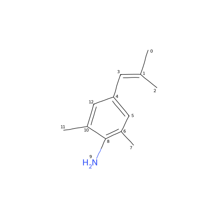 CC(C)=Cc1cc(C)c(N)c(C)c1